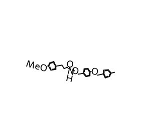 COc1ccc(CCC(=O)NOCc2ccc(OCc3ccc(C)cc3)cc2)cc1